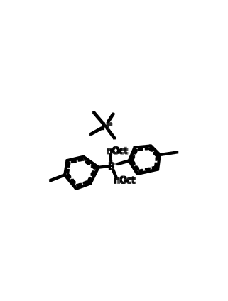 CCCCCCCC[B-](CCCCCCCC)(c1ccc(C)cc1)c1ccc(C)cc1.C[N+](C)(C)C